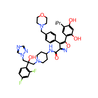 CC(C)c1cc(-c2onc(C(=O)NC3CCN(CC(O)(Cn4cncn4)c4ccc(F)cc4F)CC3)c2-c2ccc(CN3CCOCC3)cc2)c(O)cc1O